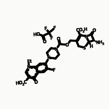 CCn1cc(C(=O)O)c(=O)c2cc(F)c(N3CCN(C(=O)OCC4=C(C(=O)O)N5C(=O)[C@H](N)[C@@H]5SC4)CC3)cc21.O=C(O)C(F)(F)F